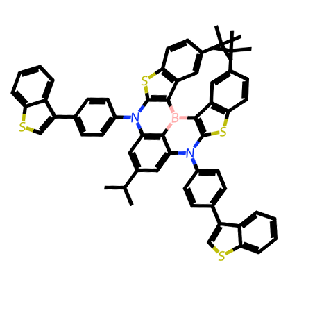 CC(C)c1cc2c3c(c1)N(c1ccc(-c4csc5ccccc45)cc1)c1sc4ccc(C(C)(C)C)cc4c1B3c1c(sc3ccc(C(C)(C)C)cc13)N2c1ccc(-c2csc3ccccc23)cc1